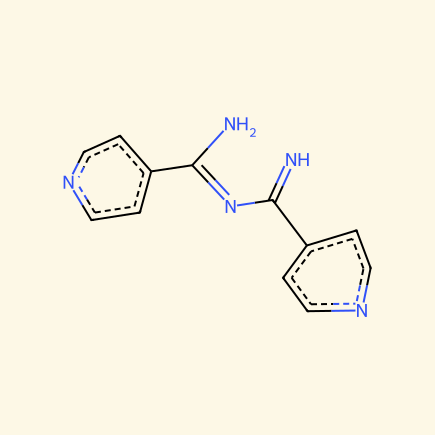 N=C(/N=C(\N)c1ccncc1)c1ccncc1